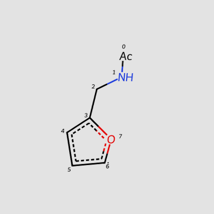 CC(=O)NCc1cc[c]o1